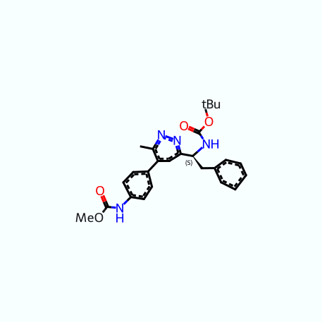 COC(=O)Nc1ccc(-c2cc([C@H](Cc3ccccc3)NC(=O)OC(C)(C)C)nnc2C)cc1